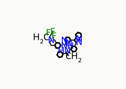 C=C(Nc1cccc(-c2nn3ccccc3c2-c2ccnc(Nc3ccc4c(c3)CN(C(=C)C(F)(F)F)CC4)n2)c1)c1ccccc1